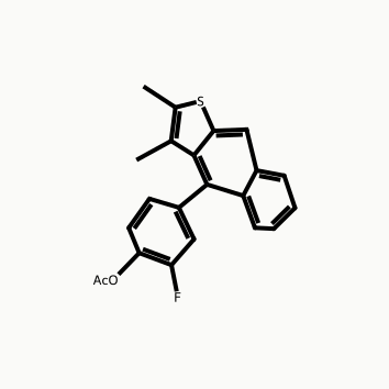 CC(=O)Oc1ccc(-c2c3ccccc3cc3sc(C)c(C)c23)cc1F